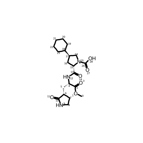 COC(=O)[C@H](C[C@@H]1CCNC1=O)NC(=O)[C@@H]1C[C@@H](C2CCCCC2)CN1C(=O)O